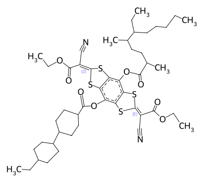 CCCCCC(CC)C(C)CCC(C)C(=O)Oc1c2c(c(OC(=O)C3CCC(C4CCC(CC)CC4)CC3)c3c1S/C(=C(/C#N)C(=O)OCC)S3)S/C(=C(/C#N)C(=O)OCC)S2